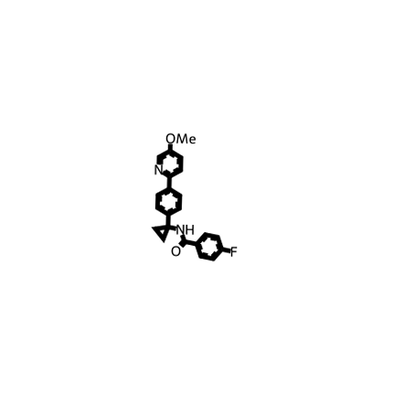 COc1ccc(-c2ccc(C3(NC(=O)c4ccc(F)cc4)CC3)cc2)nc1